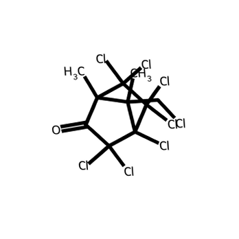 CC1(CCl)C2(C)C(=O)C(Cl)(Cl)C1(Cl)C(Cl)(Cl)C2(Cl)Cl